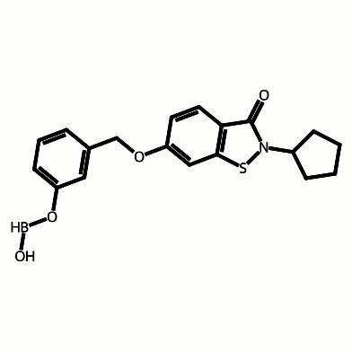 O=c1c2ccc(OCc3cccc(OBO)c3)cc2sn1C1CCCC1